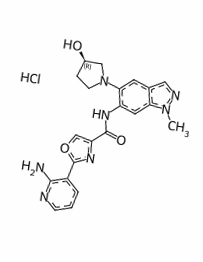 Cl.Cn1ncc2cc(N3CC[C@@H](O)C3)c(NC(=O)c3coc(-c4cccnc4N)n3)cc21